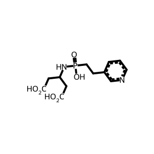 O=C(O)CC(CC(=O)O)NP(=O)(O)CCc1cccnc1